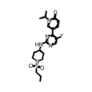 CCCS(=O)(=O)N1CCC(Nc2ncc(F)c(-c3ccc(=O)n(C(C)C)c3)n2)CC1